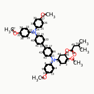 COC1=CC=C(N(c2ccc(OC)cc2)c2ccc(-c3ccc(N(c4ccc(OC)cc4)c4ccc(OC)cc4)cc3)cc2)CC1OC(=O)CC(C)C